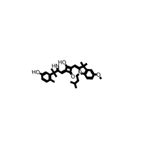 COc1ccc2c(c1)C(C)(C)/C(=C/C1=C(O)C(=C\C(=N)C(C)(C)c3cc(O)ccc3C)/C1=O)N2CCC(C)C